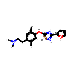 CCN(C)CCc1cc(C)c(Oc2nc(-c3ccco3)ns2)cc1C